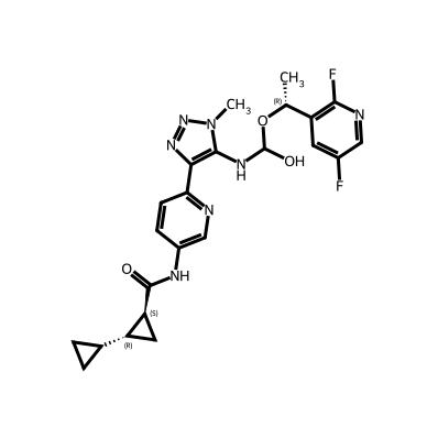 C[C@@H](OC(O)Nc1c(-c2ccc(NC(=O)[C@H]3C[C@@H]3C3CC3)cn2)nnn1C)c1cc(F)cnc1F